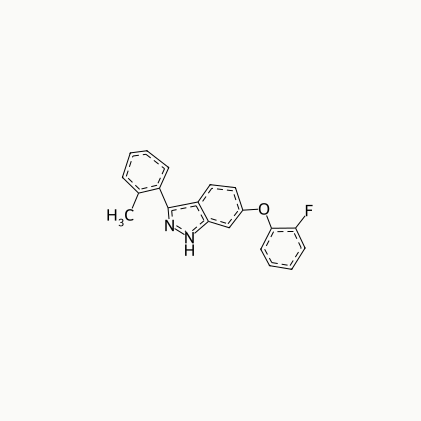 Cc1ccccc1-c1n[nH]c2cc(Oc3ccccc3F)ccc12